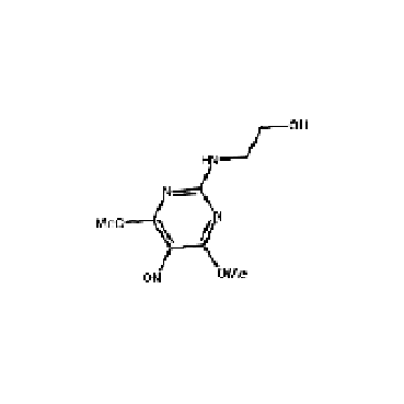 COc1nc(NCCO)nc(OC)c1N=O